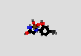 O=C1CN(c2ccc(C(F)(F)F)cc2O)S(=O)(=O)N1